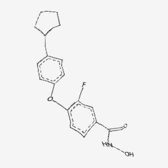 O=C(NO)c1ccc(Oc2ccc(C3CCCC3)cc2)c(F)c1